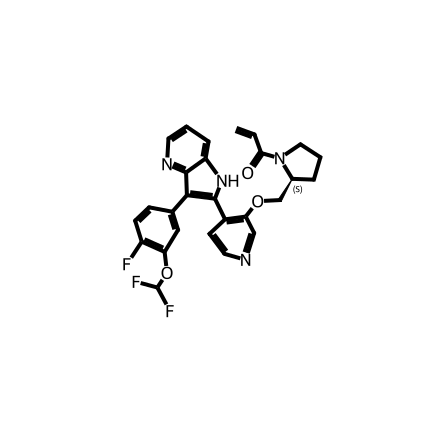 C=CC(=O)N1CCC[C@H]1COc1cnccc1-c1[nH]c2cccnc2c1-c1ccc(F)c(OC(F)F)c1